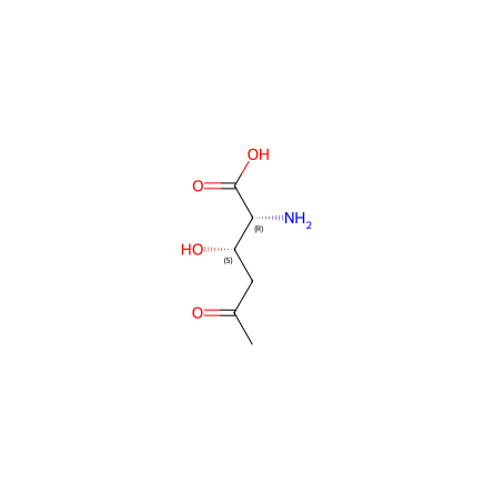 CC(=O)C[C@H](O)[C@@H](N)C(=O)O